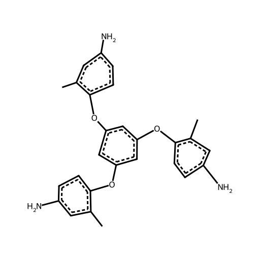 Cc1cc(N)ccc1Oc1cc(Oc2ccc(N)cc2C)cc(Oc2ccc(N)cc2C)c1